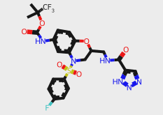 CC(C)(OC(=O)Nc1ccc2c(c1)N(S(=O)(=O)c1ccc(F)cc1)CC(CNC(=O)c1cnn[nH]1)O2)C(F)(F)F